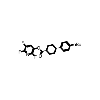 CCCCc1ccc([C@H]2CC[C@H](C(=O)Oc3cc(F)c(F)nc3F)CC2)cc1